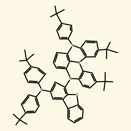 CC(C)(C)c1ccc(N(c2ccc(C(C)(C)C)cc2)c2cc(N3c4ccc(C(C)(C)C)cc4B4c5cc(C(C)(C)C)ccc5N(c5ccc(C(C)(C)C)cc5)c5cccc3c54)c3oc4ccccc4c3c2)cc1